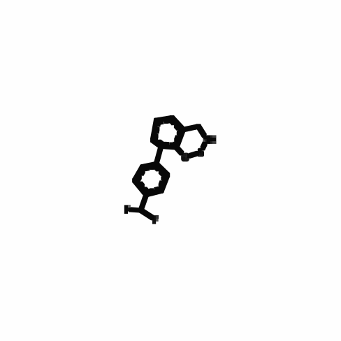 FC(F)c1ccc(-c2cccc3c2OSNC3)cc1